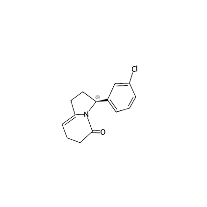 O=C1CCC=C2CC[C@@H](c3cccc(Cl)c3)N12